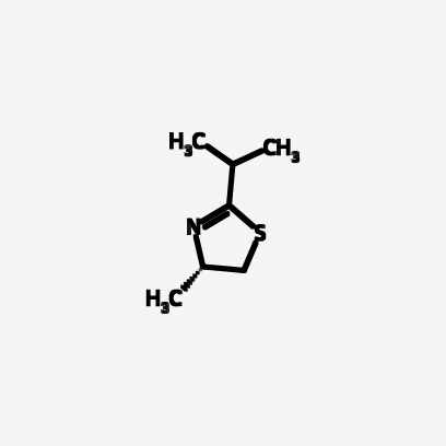 CC(C)C1=N[C@@H](C)CS1